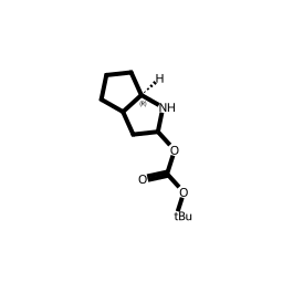 CC(C)(C)OC(=O)OC1CC2CCC[C@H]2N1